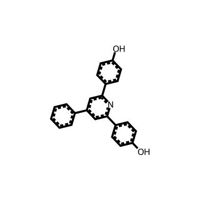 Oc1ccc(-c2cc(-c3ccccc3)cc(-c3ccc(O)cc3)n2)cc1